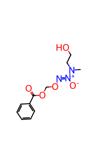 CN(CCO)/[N+]([O-])=N/OCOC(=O)c1ccccc1